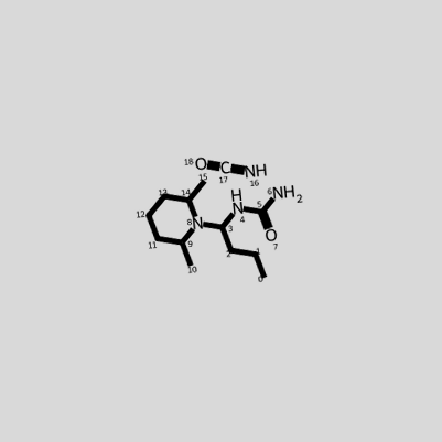 CCCC(NC(N)=O)N1C(C)CCCC1C.N=C=O